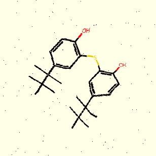 CC(C)(C)C(C)(C)c1ccc(O)c(Sc2cc(C(C)(C)C(C)(C)C)ccc2O)c1